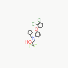 OC(CN(CC1CCCC1)c1cccc(Oc2cccc(Cl)c2Cl)c1)C(F)(F)F